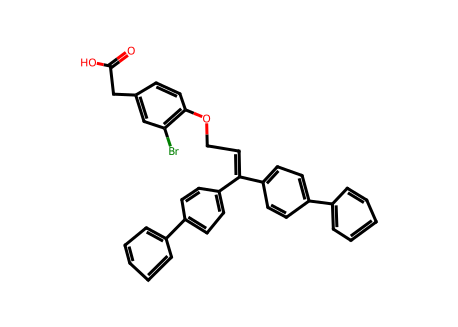 O=C(O)Cc1ccc(OCC=C(c2ccc(-c3ccccc3)cc2)c2ccc(-c3ccccc3)cc2)c(Br)c1